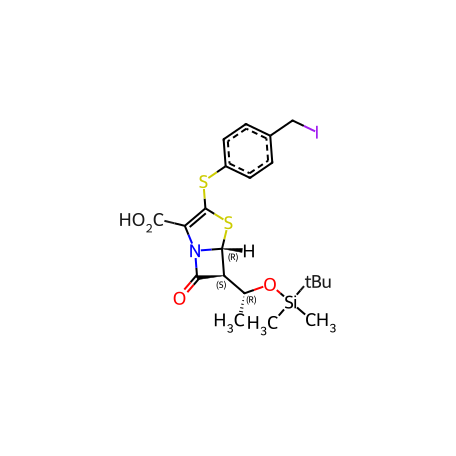 C[C@@H](O[Si](C)(C)C(C)(C)C)[C@H]1C(=O)N2C(C(=O)O)=C(Sc3ccc(CI)cc3)S[C@H]12